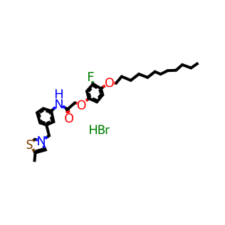 Br.CCCCCCCCCCCCOc1ccc(OCC(=O)Nc2cccc(CN3C=C(C)SC3)c2)cc1F